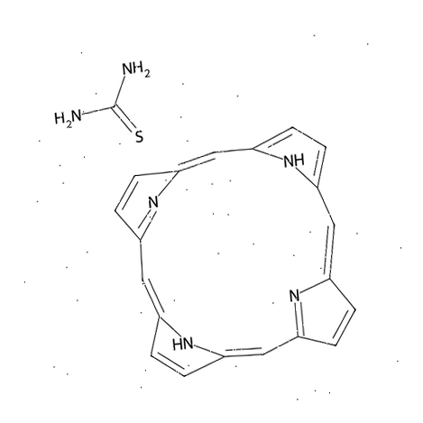 C1=Cc2cc3ccc(cc4nc(cc5ccc(cc1n2)[nH]5)C=C4)[nH]3.NC(N)=S